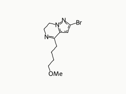 COCCCCC1=NCCn2nc(Br)cc21